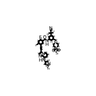 Cc1cc(F)c(C(=O)Nc2cc(CN3CCN(S(C)(=O)=O)CC3)cc(C(C)(C)C#N)c2)cc1C#Cc1cnc2c(Nc3cnn(C)c3)cccn12